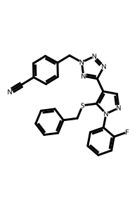 N#Cc1ccc(Cn2nnc(-c3cnn(-c4ccccc4F)c3SCc3ccccc3)n2)cc1